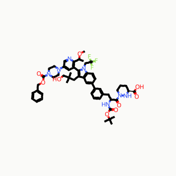 COC(C)c1ncc(N2CCN(C(=O)OCc3ccccc3)CC2)cc1-c1c(CC(C)(C)CO)c2cc(-c3cccc(CC(NC(=O)OC(C)(C)C)C(=O)N4CCC[C@@H](C(=O)O)N4)c3)ccc2n1CC(F)(F)F